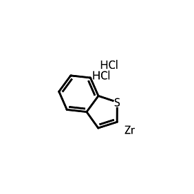 Cl.Cl.[Zr].c1ccc2sccc2c1